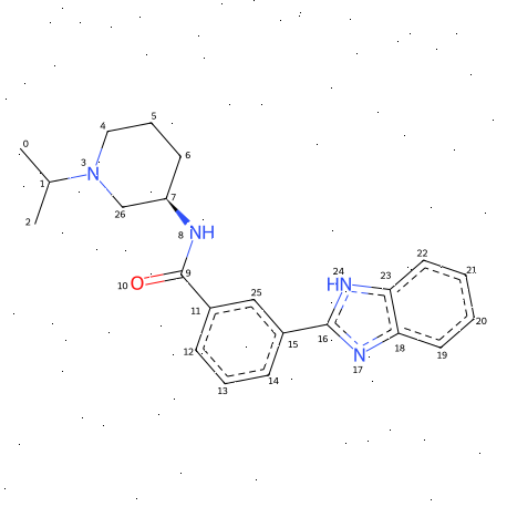 CC(C)N1CCC[C@@H](NC(=O)c2cccc(-c3nc4ccccc4[nH]3)c2)C1